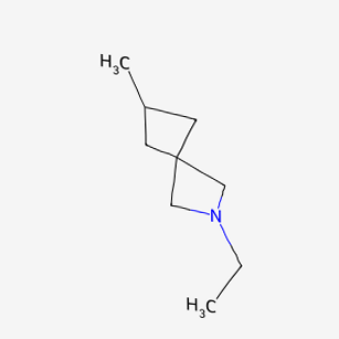 CCN1CC2(CC(C)C2)C1